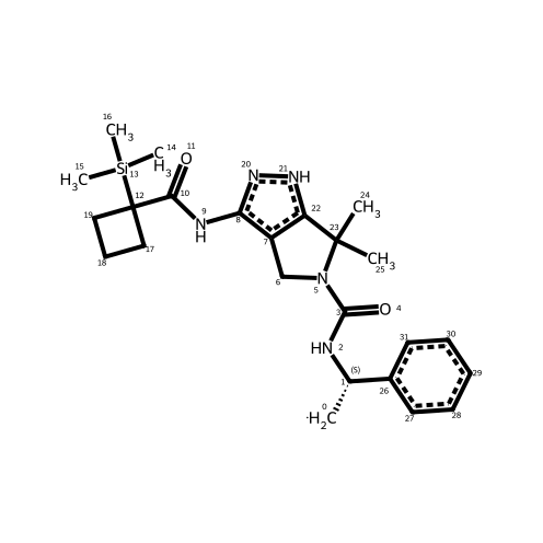 [CH2][C@H](NC(=O)N1Cc2c(NC(=O)C3([Si](C)(C)C)CCC3)n[nH]c2C1(C)C)c1ccccc1